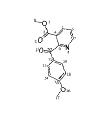 COC(=O)c1cccnc1C(=O)c1ccc(OC)cc1